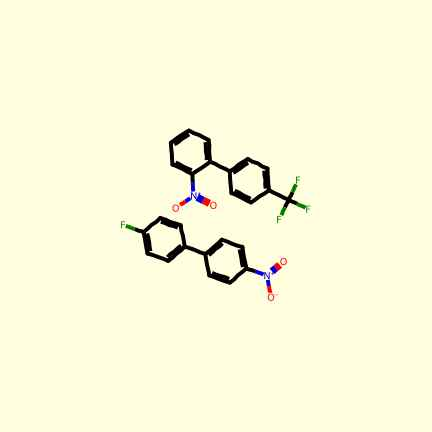 O=[N+]([O-])c1ccc(-c2ccc(F)cc2)cc1.O=[N+]([O-])c1ccccc1-c1ccc(C(F)(F)F)cc1